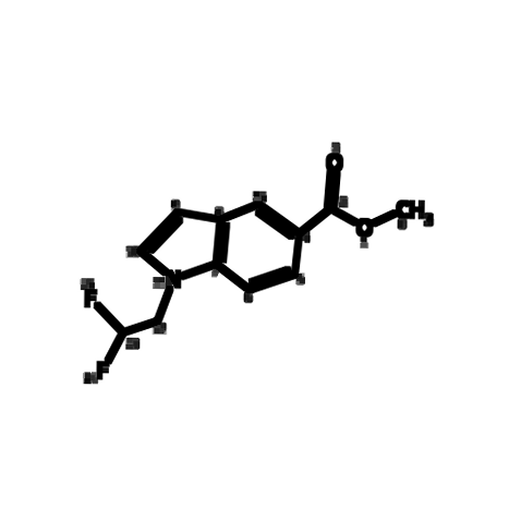 COC(=O)c1ccc2c(ccn2CC(F)F)c1